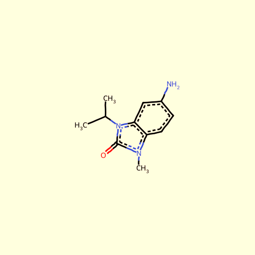 CC(C)n1c(=O)n(C)c2ccc(N)cc21